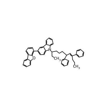 CCC/C(=C\C(CCCC(CC)n1c2ccccc2c2cc(-c3cccc4c3oc3ccccc34)ccc21)c1ccccc1)c1ccccc1